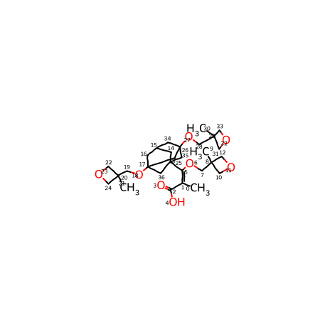 CC(C(=O)O)=C(OCC1(C)COC1)C12CC3CC(OCC4(C)COC4)(CC(OCC4(C)COC4)(C3)C1)C2